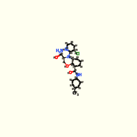 NC(=O)C1COc2c(C(=O)Nc3ccc(C(F)(F)F)cc3)cccc2N1c1ncccc1Cl